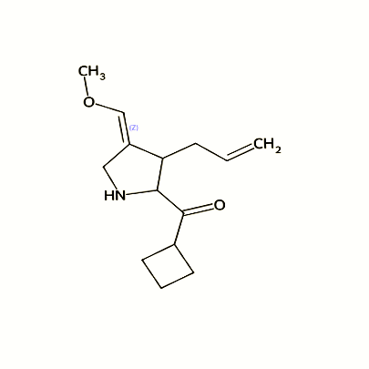 C=CCC1/C(=C/OC)CNC1C(=O)C1CCC1